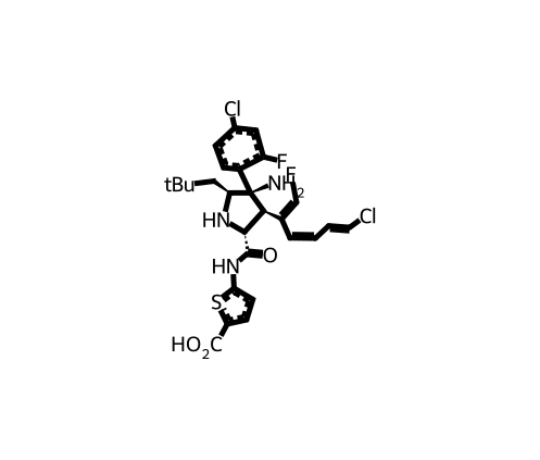 CC(C)(C)C[C@@H]1N[C@@H](C(=O)Nc2ccc(C(=O)O)s2)[C@H](C(/C=C\C=C\Cl)=C\F)[C@@]1(N)c1ccc(Cl)cc1F